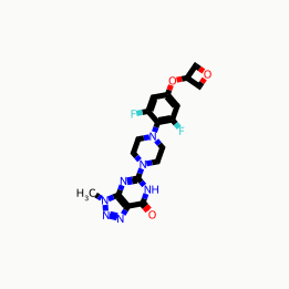 Cn1nnc2c(=O)[nH]c(N3CCN(c4c(F)cc(OC5COC5)cc4F)CC3)nc21